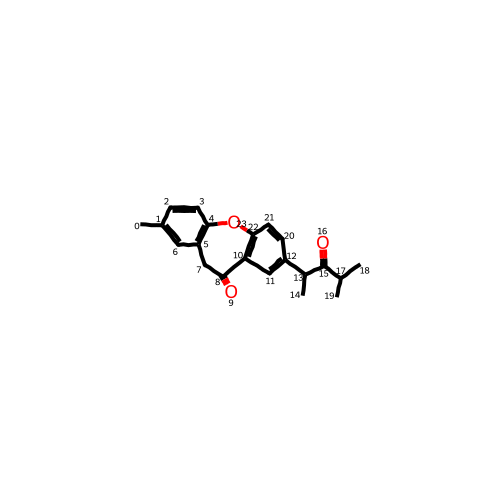 Cc1ccc2c(c1)CC(=O)c1cc(C(C)C(=O)C(C)C)ccc1O2